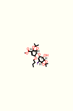 CCCCO[C@H]1C=C(C(=O)OC)[C@H]2OC(C)(C)O[C@H]2[C@@H]1O[C@H]1C=C(I)[C@H]2OC(C)(C)O[C@H]2[C@@H]1O